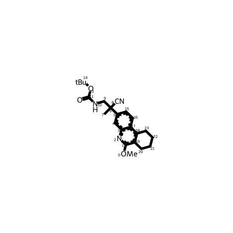 COc1nc2cc(C(C)(C#N)CNC(=O)OC(C)(C)C)ccc2c2c1CCCC2